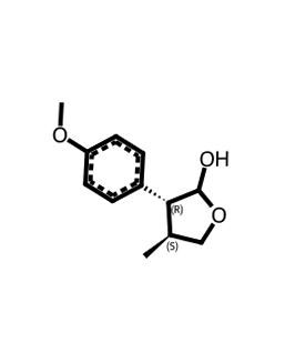 COc1ccc([C@@H]2C(O)OC[C@H]2C)cc1